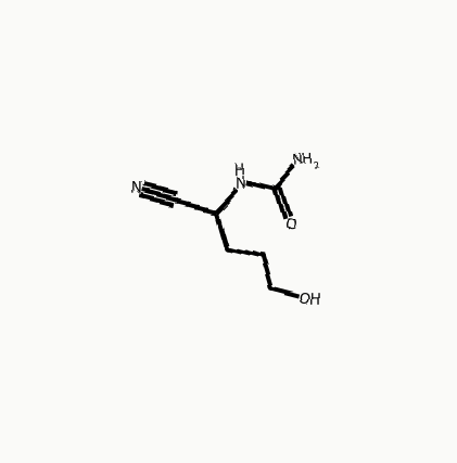 N#CC(CCCO)NC(N)=O